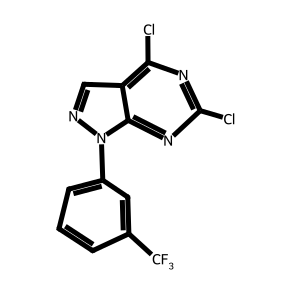 FC(F)(F)c1cccc(-n2ncc3c(Cl)nc(Cl)nc32)c1